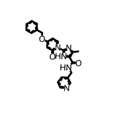 Cc1nc(-n2ccc(OCc3ccccc3)cc2=O)[nH]c1C(=O)NCc1cccnc1